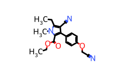 CCOC(=O)c1c(-c2ccc(OCC#N)cc2)c(C#N)c(CC)n1C